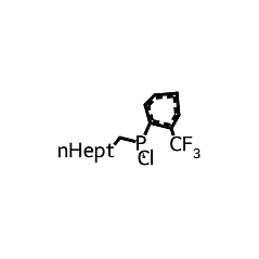 CCCCCCCC[P@@](Cl)c1ccccc1C(F)(F)F